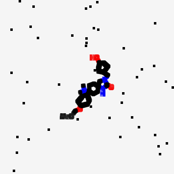 COCOc1ccc(C2(N(C)C)CCC3(CC2)CN(Cc2ccc(O)cc2)C(=O)N3)cc1